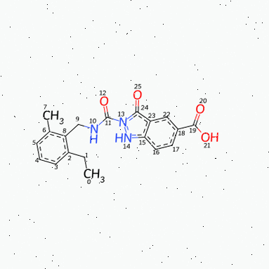 CCc1cccc(C)c1CNC(=O)n1[nH]c2ccc(C(=O)O)cc2c1=O